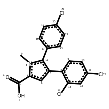 Cn1c(C(=O)O)cc(-c2ccc(Cl)cc2Cl)c1-c1ccc(Cl)cc1